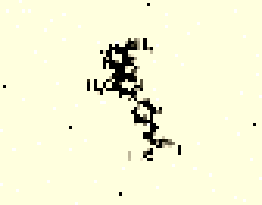 Cc1cc(N2CCN(CCN(C)C)CC2)nc2sc3c(N)ncnc3c12